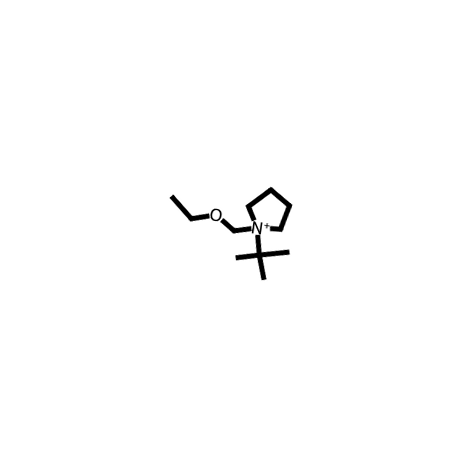 CCOC[N+]1(C(C)(C)C)CCCC1